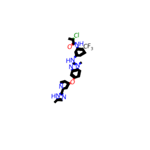 Cc1cnc(-c2cc(Oc3ccc4c(c3)nc(Nc3ccc(C(F)(F)F)c(NC(=O)C(C)Cl)c3)n4C)ccn2)[nH]1